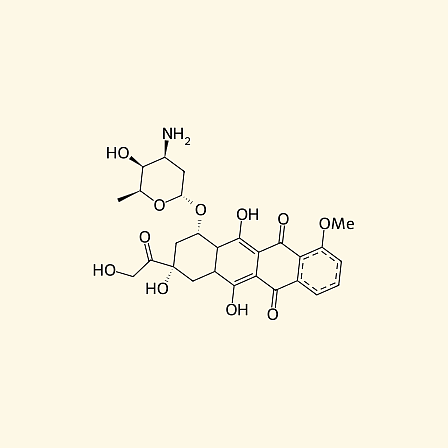 COc1cccc2c1C(=O)C1=C(O)C3C(C[C@@](O)(C(=O)CO)C[C@@H]3O[C@H]3C[C@H](N)[C@H](O)[C@H](C)O3)C(O)=C1C2=O